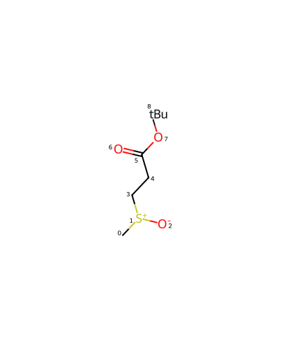 C[S+]([O-])CCC(=O)OC(C)(C)C